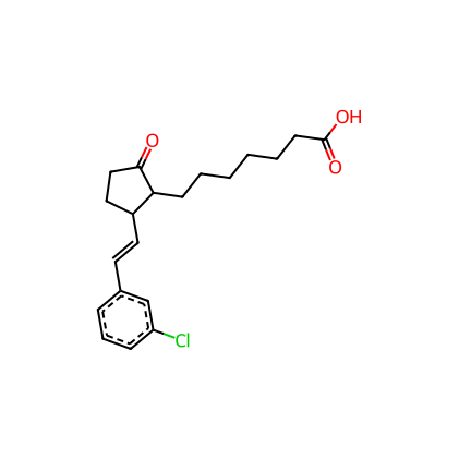 O=C(O)CCCCCCC1C(=O)CCC1/C=C/c1cccc(Cl)c1